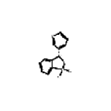 CC[Si]1(CC)O[C@@H](c2cccnc2)c2ccccc21